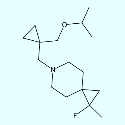 CC(C)OCC1(CN2CCC3(CC2)CC3(C)F)CC1